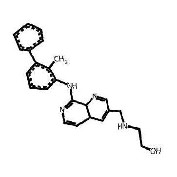 Cc1c(NC2=NC=CC3C=C(CNCCO)C=NC23)cccc1-c1ccccc1